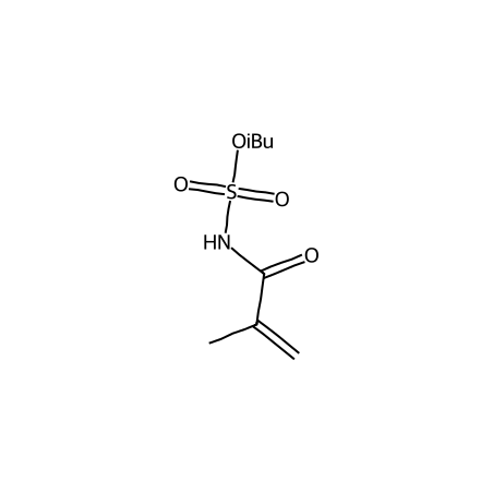 C=C(C)C(=O)NS(=O)(=O)OCC(C)C